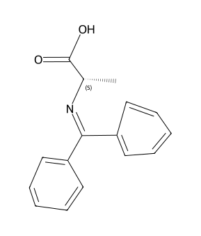 C[C@H](N=C(c1ccccc1)c1ccccc1)C(=O)O